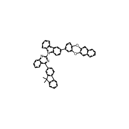 CC1(C)c2ccccc2-c2ccc(-c3nc(-n4c5ccccc5c5cc(-c6ccc7c(c6)Oc6cc8ccccc8cc6O7)ccc54)nc4ccccc34)cc21